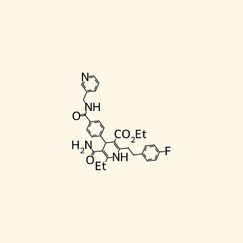 CCOC(=O)C1=C(CCc2ccc(F)cc2)NC(CC)=C(C(N)=O)C1c1ccc(C(=O)NCc2cccnc2)cc1